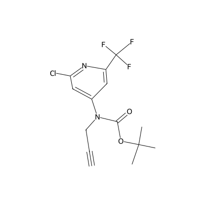 C#CCN(C(=O)OC(C)(C)C)c1cc(Cl)nc(C(F)(F)F)c1